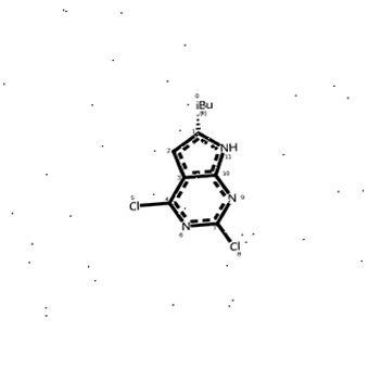 CC[C@@H](C)c1cc2c(Cl)nc(Cl)nc2[nH]1